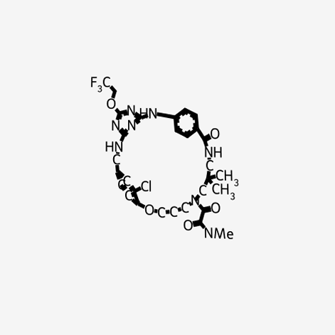 CNC(=O)C(=O)N1CCCOc2ccc(cc2Cl)CNc2nc(nc(OCC(F)(F)F)n2)Nc2ccc(cc2)C(=O)NCC(C)(C)C1